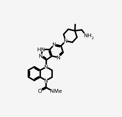 CNC(=O)N1CCN(c2n[nH]c3nc(N4CCC(C)(CN)CC4)cnc23)c2ccccc21